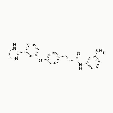 Cc1cccc(NC(=O)CCc2ccc(Oc3ccnc(C4=NCCN4)c3)cc2)c1